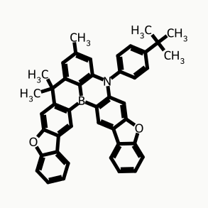 Cc1cc2c3c(c1)C(C)(C)c1cc4oc5ccccc5c4cc1B3c1cc3c(cc1N2c1ccc(C(C)(C)C)cc1)oc1ccccc13